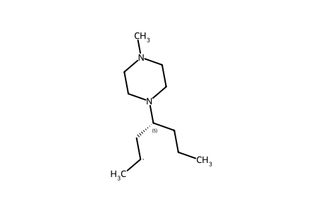 C[CH]C[C@@H](CCC)N1CCN(C)CC1